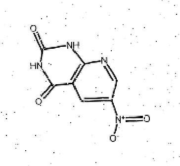 O=c1[nH]c(=O)c2cc([N+](=O)[O-])cnc2[nH]1